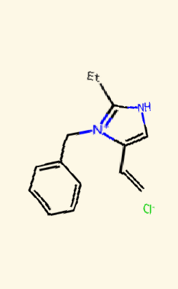 C=Cc1c[nH]c(CC)[n+]1Cc1ccccc1.[Cl-]